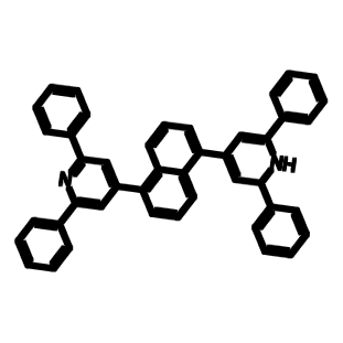 C1=C(c2ccccc2)NC(c2ccccc2)C=C1c1cccc2c(-c3cc(-c4ccccc4)nc(-c4ccccc4)c3)cccc12